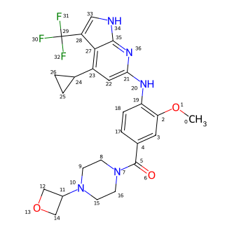 COc1cc(C(=O)N2CCN(C3COC3)CC2)ccc1Nc1cc(C2CC2)c2c(C(F)(F)F)c[nH]c2n1